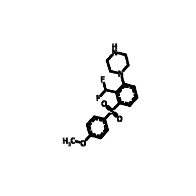 COc1ccc(S(=O)(=O)c2cccc(N3CCNCC3)c2C(F)F)cc1